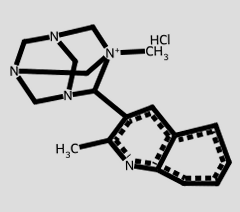 Cc1nc2ccccc2cc1C1N2CN3CN(C2)C[N+]1(C)C3.Cl